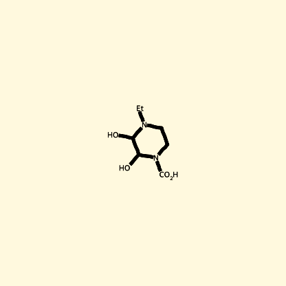 CCN1CCN(C(=O)O)C(O)C1O